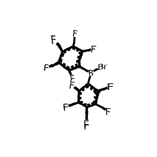 Fc1c(F)c(F)c(B(Br)c2c(F)c(F)c(F)c(F)c2F)c(F)c1F